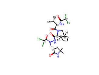 CCC(CC)[C@H](NC(=O)[C@@H](F)Cl)C(=O)N1C[C@@H]2CCC[C@@H]2[C@H]1C(=O)NN(C[C@@H]1CC(C)(C)NC1=O)C(=O)[C@@H](F)Cl